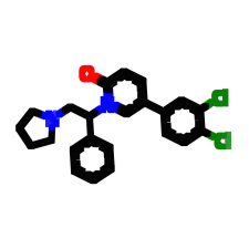 O=c1ccc(-c2ccc(Cl)c(Cl)c2)cn1C(CN1CCCC1)c1ccccc1